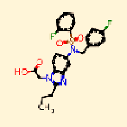 CCCc1nc2cc(N(Cc3ccc(F)cc3)S(=O)(=O)c3ccccc3F)ccc2n1CC(=O)O